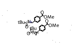 COC(=O)c1ccc(/C=N/[S+]([O-])C(C)(C)C)cc1.COC(=O)c1ccc([C@H]2CN2[S+]([O-])C(C)(C)C)cc1